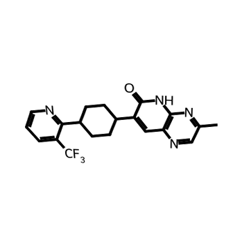 Cc1cnc2cc(C3CCC(c4ncccc4C(F)(F)F)CC3)c(=O)[nH]c2n1